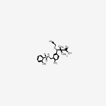 C#CCOC(c1ccc(C)c(CNS(=O)(=O)c2ccccc2O)c1)C(C)(C)C(=O)O